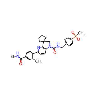 CCNC(=O)c1ccc(-c2ccc3c(n2)C2(CCCC2)CN3C(=O)NCc2ccc(S(C)(=O)=O)cc2)c(C)c1